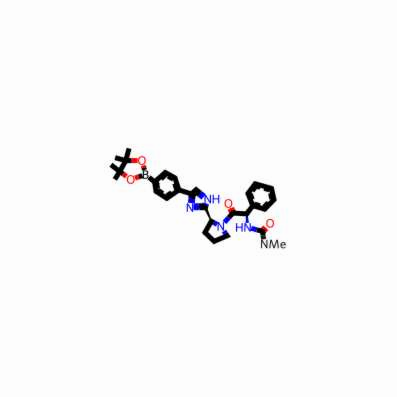 CNC(=O)N[C@@H](C(=O)N1CCC[C@H]1c1nc(-c2ccc(B3OC(C)(C)C(C)(C)O3)cc2)c[nH]1)c1ccccc1